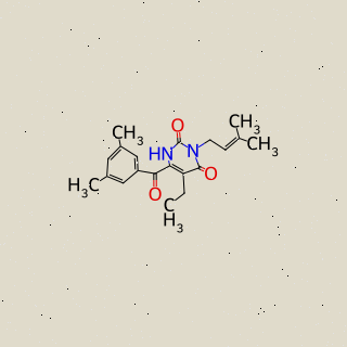 CCc1c(C(=O)c2cc(C)cc(C)c2)[nH]c(=O)n(CC=C(C)C)c1=O